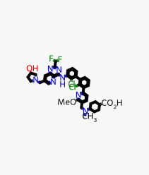 COc1nc(-c2cccc(-c3cccc(Nc4nc(C(F)F)nc5cc(CN6CC[C@@H](O)C6)cnc45)c3Cl)c2Cl)ccc1CN(C)C1CCC(C(=O)O)CC1